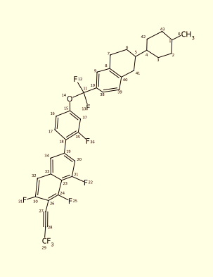 CC1CCC(C2CCc3cc(C(F)(F)Oc4ccc(-c5cc(F)c6c(F)c(C#CC(F)(F)F)c(F)cc6c5)c(F)c4)ccc3C2)CC1